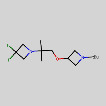 CC(C)(C)N1CC(OCC(C)(C)N2CC(F)(F)C2)C1